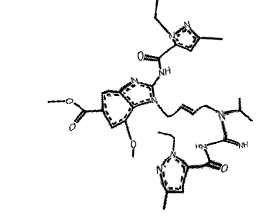 CCn1nc(C)cc1C(=O)NC(=N)N(C/C=C/Cn1c(NC(=O)c2cc(C)nn2CC)nc2cc(C(=O)OC)cc(OC)c21)C(C)C